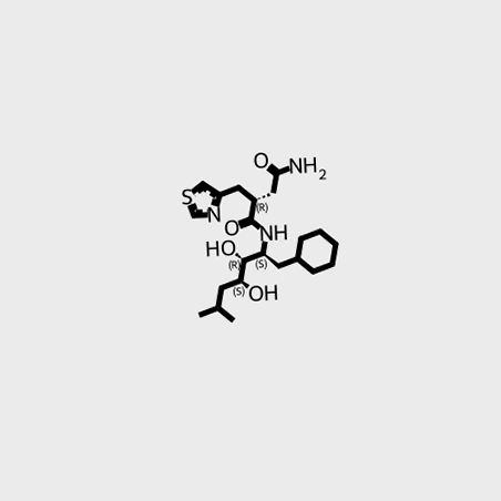 CC(C)C[C@H](O)[C@H](O)[C@H](CC1CCCCC1)NC(=O)[C@@H](CC(N)=O)Cc1cscn1